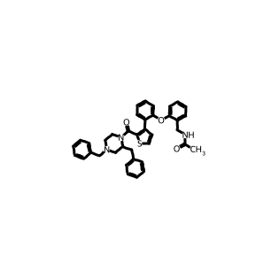 CC(=O)NCc1ccccc1Oc1ccccc1-c1ccsc1C(=O)N1CCN(Cc2ccccc2)CC1Cc1ccccc1